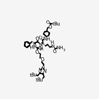 CC(C)(C)Cc1nn(CCOCCOC(=O)N[C@H](Cc2ccccc2)C(=O)N[C@@H](CCCNC(N)=O)C(=O)Nc2ccc(COC(=O)C(C)(C)C)cc2)nc1CC(C)(C)C